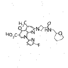 Cc1cc(N2CC(C(=O)NCC3CCCCO3)C2)nc2c1c(=O)c(C(=O)O)cn2-c1nc(F)cs1